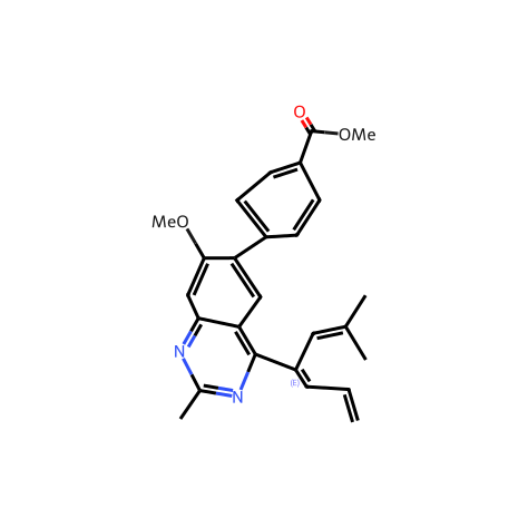 C=C/C=C(\C=C(C)C)c1nc(C)nc2cc(OC)c(-c3ccc(C(=O)OC)cc3)cc12